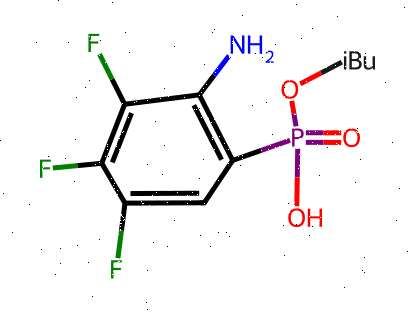 CCC(C)OP(=O)(O)c1cc(F)c(F)c(F)c1N